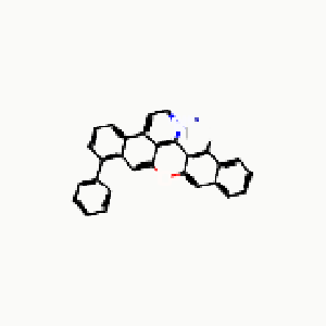 Cc1c2c(cc3ccccc13)Oc1cc3c(-c4ccccc4)cccc3c3cc[n+](C)c-2c13